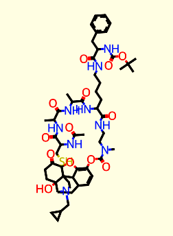 CC(=O)NC(CS)C(=O)NC(C)C(=O)NC(C)C(=O)NC(CCCCNC(=O)C(Cc1ccccc1)NC(=O)OC(C)(C)C)C(=O)NCCN(C)C(=O)OC1=C2OC3C(=O)CCC4(O)C5CC(C=C1)C2C34CCN5CC1CC1